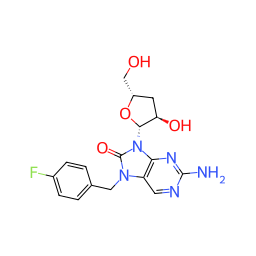 Nc1ncc2c(n1)n([C@@H]1O[C@H](CO)C[C@H]1O)c(=O)n2Cc1ccc(F)cc1